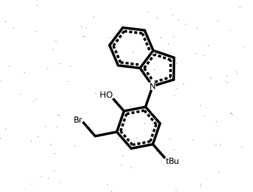 CC(C)(C)c1cc(CBr)c(O)c(-n2ccc3ccccc32)c1